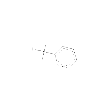 FC(F)(F)C(F)(c1[c]ccnn1)C(F)(F)F